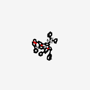 c1ccc(-c2ccc(-c3cc(-c4nc(-c5ccccc5)nc(-c5ccccc5)n4)cc(-c4ccc(-c5ccccc5)cc4)c3-n3c4ccc(-n5c6ccccc6c6ccccc65)cc4c4c(-c5ccccc5)cccc43)cc2)cc1